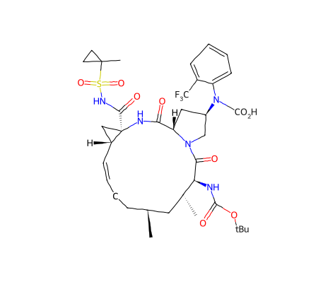 C[C@H]1CCC=C[C@@H]2C[C@@]2(C(=O)NS(=O)(=O)C2(C)CC2)NC(=O)[C@@H]2C[C@@H](N(C(=O)O)c3ccccc3C(F)(F)F)CN2C(=O)[C@@H](NC(=O)OC(C)(C)C)[C@H](C)C1